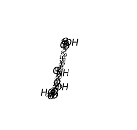 COP(=O)(O)OCCCCCCCCCCC(=O)NCCCOCC(O)COP(=O)(O)OC